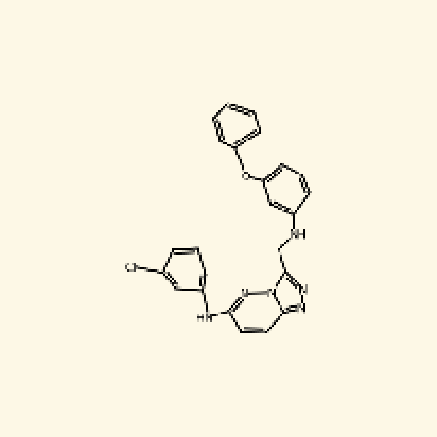 Clc1cccc(Nc2ccc3nnc(CNc4cccc(Oc5ccccc5)c4)n3n2)c1